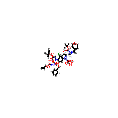 C=CCOC(=O)NS(=O)(=O)N(CC(=O)OC(C)(C)C)c1c(OCc2ccccc2)cc2c(c1F)C[C@H](CN(CC1CCOCC1)C(=O)OC(C)(C)C)N2C(=O)O